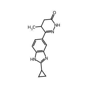 CC1CC(=O)NN=C1c1ccc2[nH]c(C3CC3)nc2c1